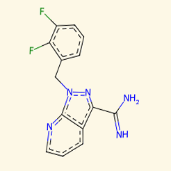 N=C(N)c1nn(Cc2cccc(F)c2F)c2ncccc12